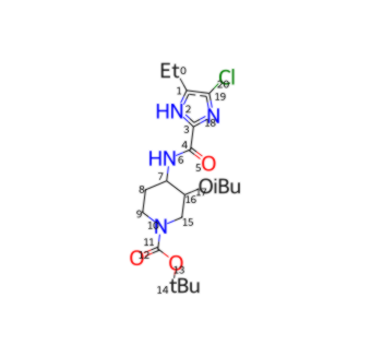 CCc1[nH]c(C(=O)NC2CCN(C(=O)OC(C)(C)C)CC2OCC(C)C)nc1Cl